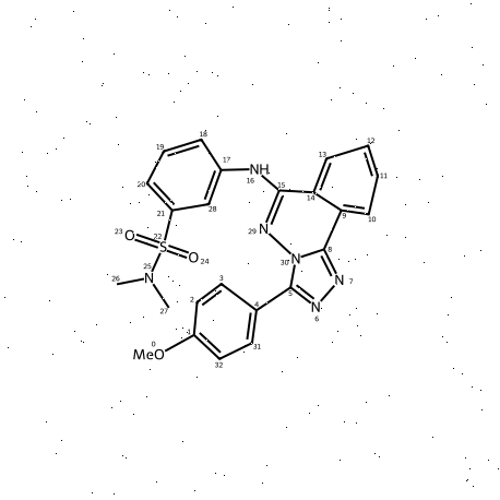 COc1ccc(-c2nnc3c4ccccc4c(Nc4cccc(S(=O)(=O)N(C)C)c4)nn23)cc1